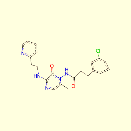 Cc1cnc(NCCc2ccccn2)c(=O)n1NC(=O)CCc1cccc(Cl)c1